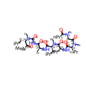 CCCC(=O)N(C)CC(=O)N(C)[C@H](C(=O)N[C@H](C(=O)N(C)[C@@H](CC(C)C)C(=O)N[C@@H](C)C(=O)NC(=O)N(C)[C@@H](CC(C)C)C(=O)NC)C(C)C)C(C)C